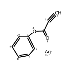 C#CC(=O)Oc1ccccc1.[Ag]